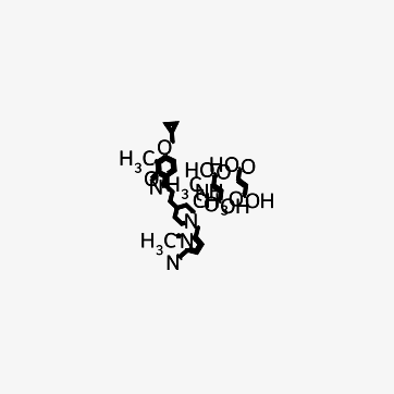 CCn1c(C#N)ccc1CN1CCC(CCc2noc3c(C)c(OCC4CC4)ccc23)CC1.CNC.O=C(O)C=CC(=O)O.O=C(O)C=CC(=O)O